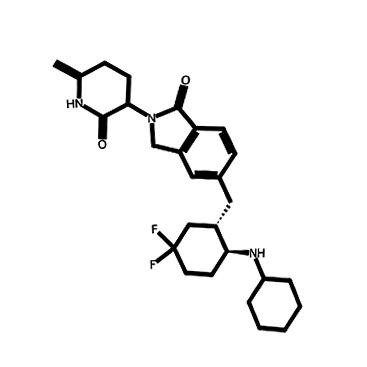 C=C1CCC(N2Cc3cc(C[C@H]4CC(F)(F)CC[C@@H]4NC4CCCCC4)ccc3C2=O)C(=O)N1